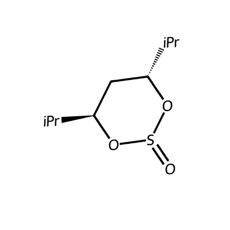 CC(C)[C@H]1C[C@H](C(C)C)OS(=O)O1